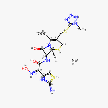 Cn1nnnc1SCC1=C(C(=O)[O-])N2C(=O)C(NC(=O)/C(=N\O)c3csc(=N)[nH]3)[C@H]2SC1.[Na+]